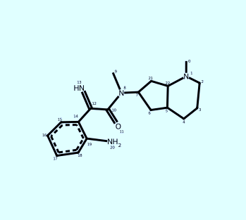 CN1CCCC2CC(N(C)C(=O)C(=N)c3ccccc3N)CC21